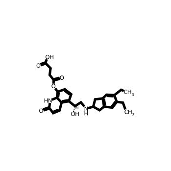 CCc1cc2c(cc1CC)CC(NC[C@H](O)c1ccc(OC(=O)CCC(=O)O)c3[nH]c(=O)ccc13)C2